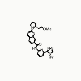 COCC[C@@H]1CCCN1c1ccc2ccc(C(=O)Nc3cccc(-c4nncn4C(C)C)n3)cc2n1